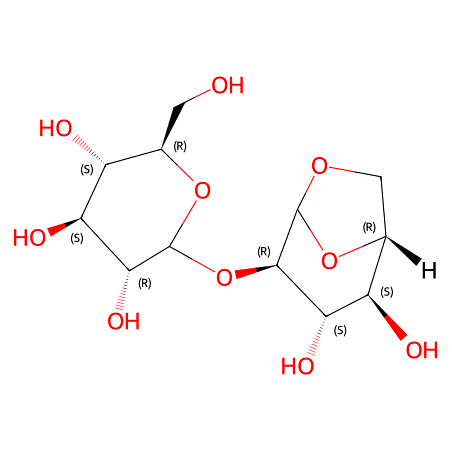 OC[C@H]1OC(O[C@H]2C3OC[C@@H](O3)[C@@H](O)[C@@H]2O)[C@H](O)[C@@H](O)[C@@H]1O